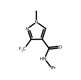 CC(C)NC(=O)c1cn(C)nc1C(F)(F)F